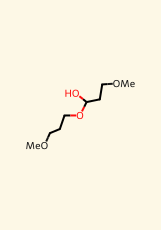 COCCCOC(O)CCOC